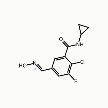 O=C(NC1CC1)c1cc(/[C]=N/O)cc(F)c1Cl